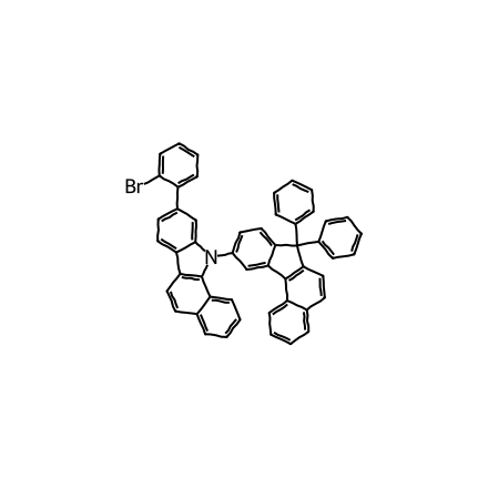 Brc1ccccc1-c1ccc2c3ccc4ccccc4c3n(-c3ccc4c(c3)-c3c(ccc5ccccc35)C4(c3ccccc3)c3ccccc3)c2c1